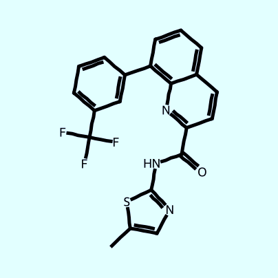 Cc1cnc(NC(=O)c2ccc3cccc(-c4cccc(C(F)(F)F)c4)c3n2)s1